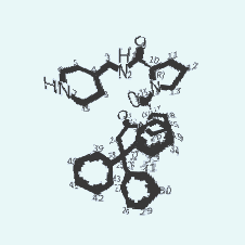 O=C(NCC1CCNCC1)[C@H]1CCCN1C(=O)[C@@H]1CCCN1C(=O)CC(c1ccccc1)(c1ccccc1)c1ccccc1